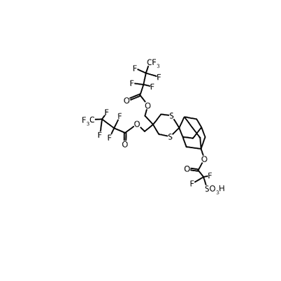 O=C(OCC1(COC(=O)C(F)(F)C(F)(F)C(F)(F)F)CSC2(SC1)C1CC3CC2CC(OC(=O)C(F)(F)S(=O)(=O)O)(C3)C1)C(F)(F)C(F)(F)C(F)(F)F